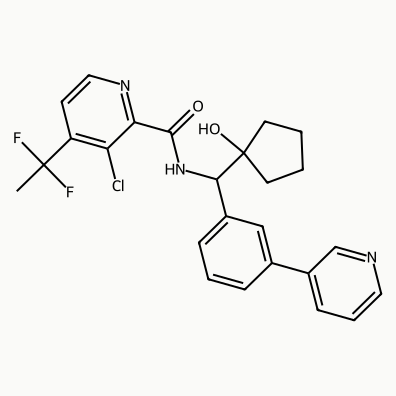 CC(F)(F)c1ccnc(C(=O)NC(c2cccc(-c3cccnc3)c2)C2(O)CCCC2)c1Cl